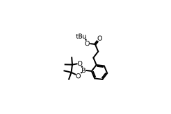 CC(C)(C)OC(=O)CCc1ccccc1B1OC(C)(C)C(C)(C)O1